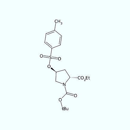 CCOC(=O)[C@H]1C[C@H](OS(=O)(=O)c2ccc(C)cc2)CN1C(=O)OC(C)(C)C